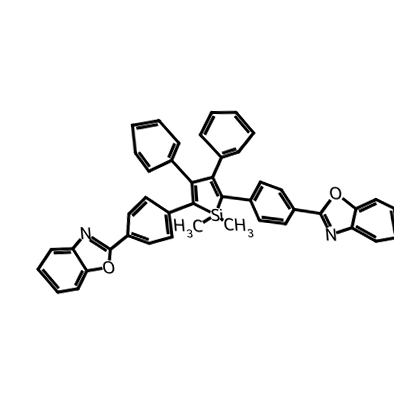 C[Si]1(C)C(c2ccc(-c3nc4ccccc4o3)cc2)=C(c2ccccc2)C(c2ccccc2)=C1c1ccc(-c2nc3ccccc3o2)cc1